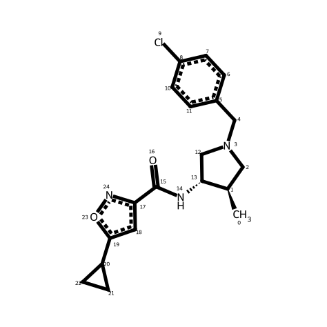 C[C@@H]1CN(Cc2ccc(Cl)cc2)C[C@H]1NC(=O)c1cc(C2CC2)on1